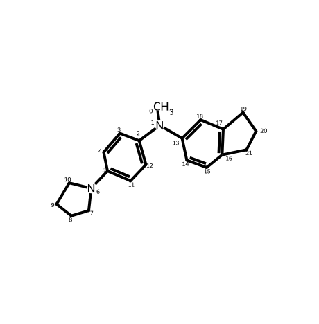 CN(c1ccc(N2CCCC2)cc1)c1ccc2c(c1)CCC2